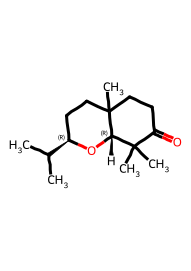 CC(C)[C@H]1CCC2(C)CCC(=O)C(C)(C)[C@@H]2O1